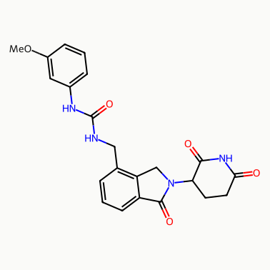 COc1cccc(NC(=O)NCc2cccc3c2CN(C2CCC(=O)NC2=O)C3=O)c1